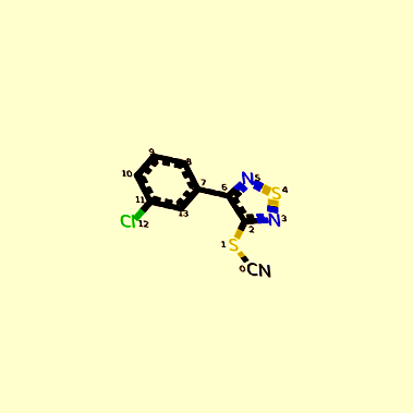 N#CSc1nsnc1-c1cccc(Cl)c1